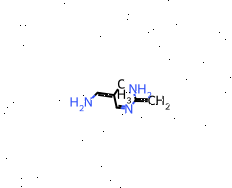 C=C(N)/N=C\C(C)=C/N